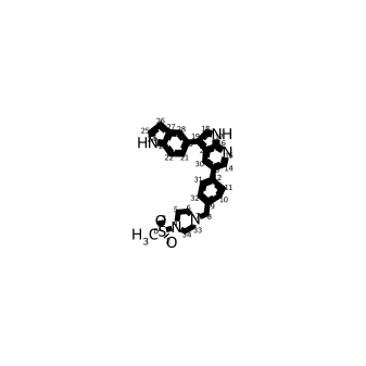 CS(=O)(=O)N1CCN(Cc2ccc(-c3cnc4[nH]cc(-c5ccc6[nH]ccc6c5)c4c3)cc2)CC1